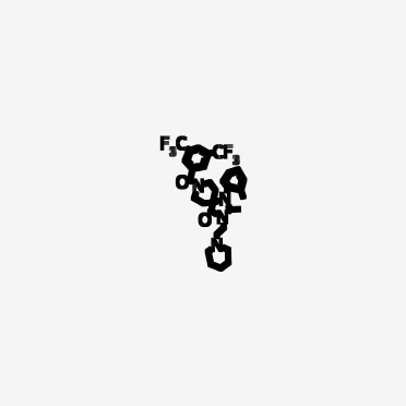 Cc1ccccc1N1C(C)N(CCN2CCCCC2)C(=O)C12CCN(C(=O)c1cc(C(F)(F)F)cc(C(F)(F)F)c1)CC2